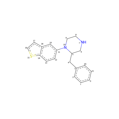 c1ccc(CC2CNCCN2c2ccc3sccc3c2)cc1